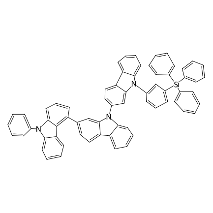 c1ccc(-n2c3ccccc3c3c(-c4ccc5c6ccccc6n(-c6ccc7c8ccccc8n(-c8cccc([Si](c9ccccc9)(c9ccccc9)c9ccccc9)c8)c7c6)c5c4)cccc32)cc1